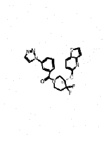 O=C(c1cccc(-n2ccnn2)c1)N1CCC(F)(F)[C@@H](Oc2ccc3sccc3n2)C1